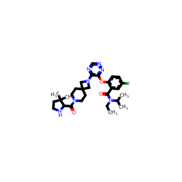 CCN(C(=O)c1cc(F)ccc1Oc1nncnc1N1CC2(CCN(C(=O)C3NCCC3(C)C)CC2)C1)C(C)C